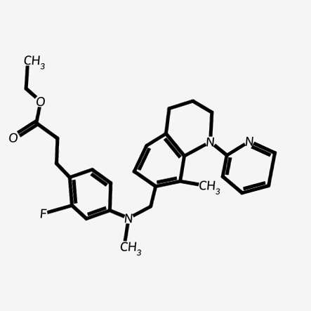 CCOC(=O)CCc1ccc(N(C)Cc2ccc3c(c2C)N(c2ccccn2)CCC3)cc1F